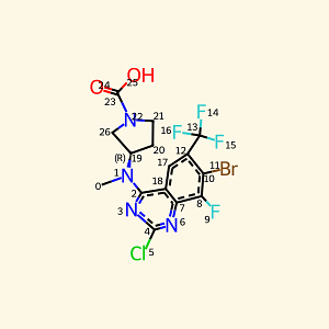 CN(c1nc(Cl)nc2c(F)c(Br)c(C(F)(F)F)cc12)[C@@H]1CCN(C(=O)O)C1